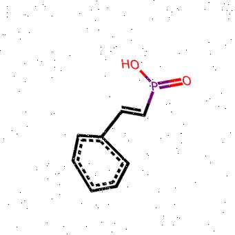 O=[P](O)C=Cc1ccccc1